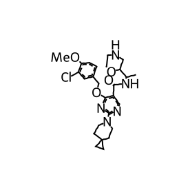 COc1ccc(COc2nc(N3CCC4(CC3)CC4)ncc2C(=O)NC(C)C2CNCCO2)cc1Cl